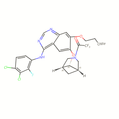 COCCOc1cc2ncnc(Nc3ccc(Cl)c(Cl)c3F)c2cc1O[C@H]1[C@@H]2C[C@H]1CN(C(=O)C(F)(F)F)C2